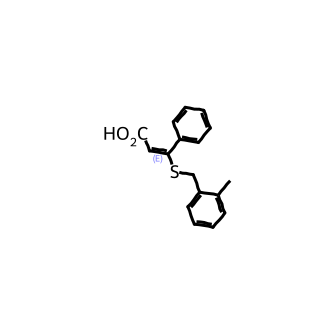 Cc1ccccc1CS/C(=C/C(=O)O)c1ccccc1